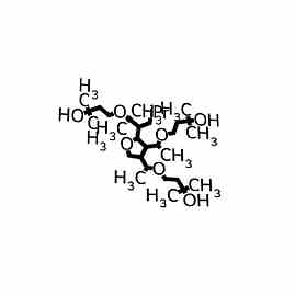 CC(C)CC(C1OCC(C(C)OCCC(C)(C)O)C1C(C)OCCC(C)(C)O)C(C)(C)OCCC(C)(C)O